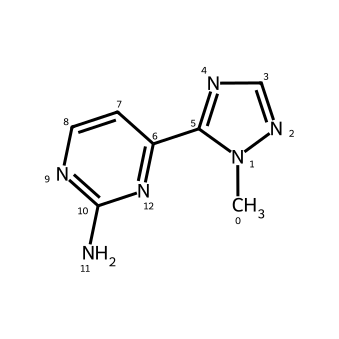 Cn1ncnc1-c1ccnc(N)n1